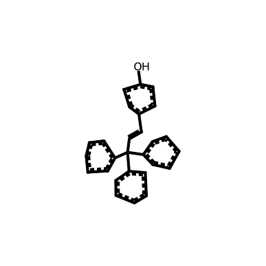 Oc1ccc(C=CC(c2ccccc2)(c2ccccc2)c2ccccc2)cc1